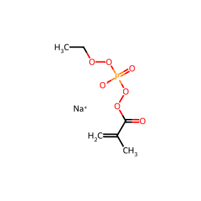 C=C(C)C(=O)OOP(=O)([O-])OOCC.[Na+]